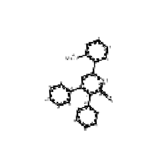 COc1ccccc1-c1cc(-c2ccncc2)c(-c2ccccc2)c(=O)[nH]1